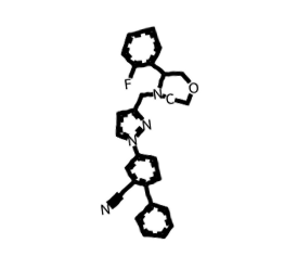 N#Cc1cc(-n2ccc(CN3CCOCC3c3ccccc3F)n2)ccc1-c1ccccc1